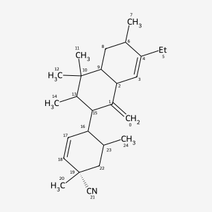 C=C1C2C=C(CC)C(C)CC2C(C)(C)C(C)C1C1C=C[C@@](C)(C#N)CC1C